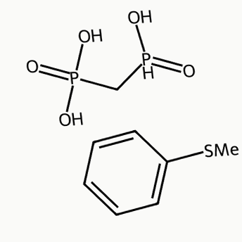 CSc1ccccc1.O=[PH](O)CP(=O)(O)O